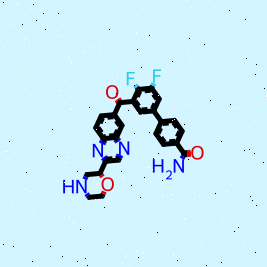 NC(=O)c1ccc(-c2cc(F)c(F)c(C(=O)c3ccc4nc(C5CNCCO5)cnc4c3)c2)cc1